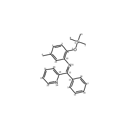 Cc1ccc(O[Si](C)(C)C)c(N=C(c2ccccc2)c2ccccn2)c1